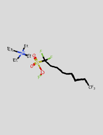 CC[N+](CC)(CC)CC.O=S(=O)(OF)C(F)(F)CCCCCCC(F)(F)F